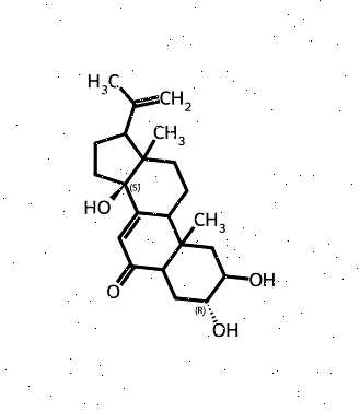 C=C(C)C1CC[C@@]2(O)C3=CC(=O)C4C[C@@H](O)C(O)CC4(C)C3CCC12C